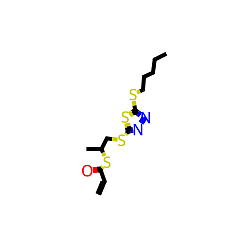 C=CC(=O)SC(C)CSc1nnc(SCCCCC)s1